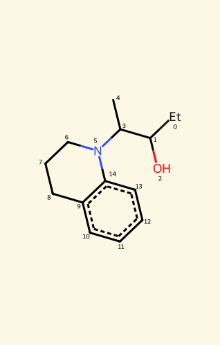 CCC(O)C(C)N1CCCc2ccccc21